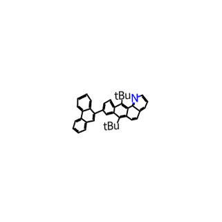 CC(C)(C)c1c2cc(-c3cc4ccccc4c4ccccc34)ccc2c(C(C)(C)C)c2c1ccc1cccnc12